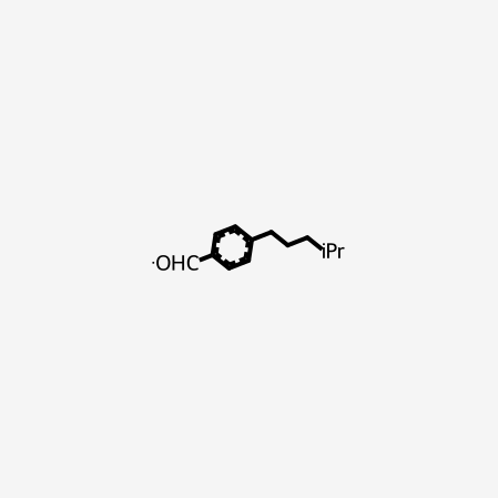 CC(C)CCCc1ccc([C]=O)cc1